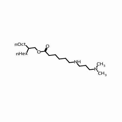 CCCCCCCCC(CCCCCC)COC(=O)CCCCCNCCCN(C)C